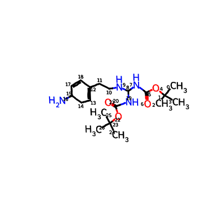 CC(C)(C)OC(=O)NC(NCCC1=CCC(N)C=C1)NC(=O)OC(C)(C)C